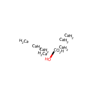 O=C(O)O.[CaH2].[CaH2].[CaH2].[CaH2].[CaH2].[CaH2].[CaH2]